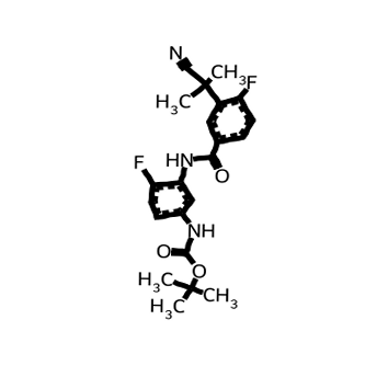 CC(C)(C)OC(=O)Nc1ccc(F)c(NC(=O)c2ccc(F)c(C(C)(C)C#N)c2)c1